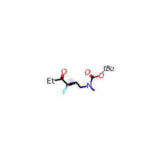 CCC(=O)/C(F)=C/CN(C)C(=O)OC(C)(C)C